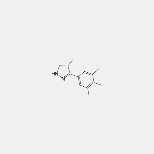 Cc1cc(-c2n[nH]cc2I)cc(C)c1C